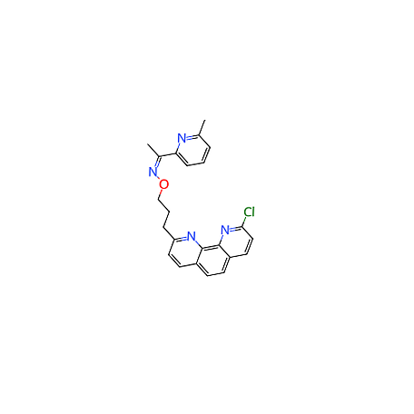 CC(=NOCCCc1ccc2ccc3ccc(Cl)nc3c2n1)c1cccc(C)n1